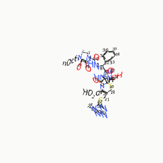 CCCCCCCCN1CCN(C(=O)NC(C(=O)N[C@]2(NO)C(=O)N3C(C(=O)O)=C(CSc4nnnn4C)CS[C@@H]32)c2ccccc2)C(=O)C1=O